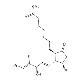 CCC/C=C(\F)[C@H](O)/C=C/[C@H]1[C@H](O)CC(=O)[C@@H]1CCCCCCC(=O)OC